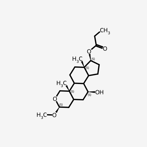 CCC(=O)O[C@H]1CCC2C3C(CC[C@@]21C)[C@@]1(C)CO[C@H](OC)CC1C[C@@H]3O